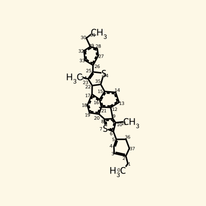 CCC1=CC=C(c2sc3c(c2C)-c2ccc4c5c(ccc-3c25)C2C(C)=C(c3ccc(CC)cc3)SC42)CC1